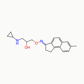 Cc1ccc2c3c(ccc2c1)/C(=N/OCC(O)CNC1CC1)CC3